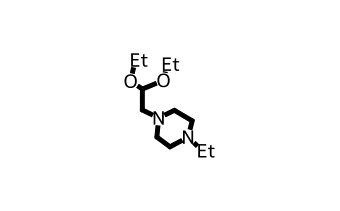 CCOC(CN1CCN(CC)CC1)OCC